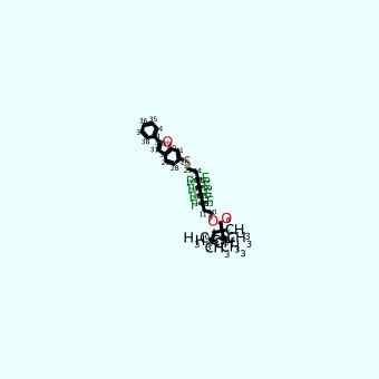 CC(C)(C)CC(C)(C(=O)OCCC(F)(F)C(F)(F)C(F)(F)C(F)(F)CCSc1ccc2cc(-c3ccccc3)oc2c1)C(C)(C)C